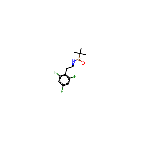 CC(C)(C)[S+]([O-])N=CCc1c(F)cc(F)cc1F